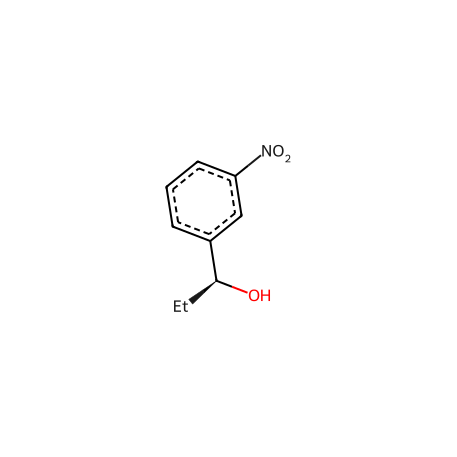 CC[C@H](O)c1cccc([N+](=O)[O-])c1